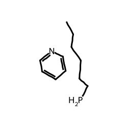 CCCCCCP.c1ccncc1